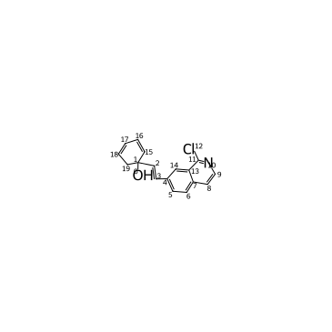 OC1(C=Cc2ccc3ccnc(Cl)c3c2)C=CC=CC1